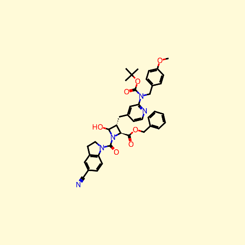 COc1ccc(CN(C(=O)OC(C)(C)C)c2cc(C[C@H]3C(O)N(C(=O)N4CCc5cc(C#N)ccc54)[C@@H]3C(=O)OCc3ccccc3)ccn2)cc1